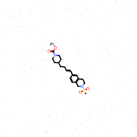 CC(C)OC(=O)N1CCC(CC/C=C/c2ccc3c(c2)CCN(S(C)(=O)=O)C3)CC1